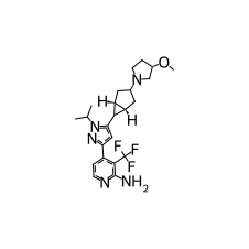 COC1CCN(C2C[C@@H]3C(c4cc(-c5ccnc(N)c5C(F)(F)F)nn4C(C)C)[C@@H]3C2)C1